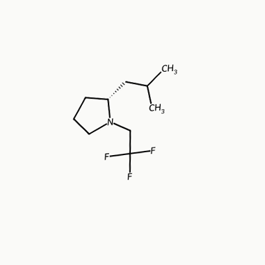 CC(C)C[C@H]1CCCN1CC(F)(F)F